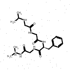 CC(C)NCC(=O)NCC(=O)N[C@@H](Cc1ccccc1)C(=O)NCC(=O)N[SH](C)C